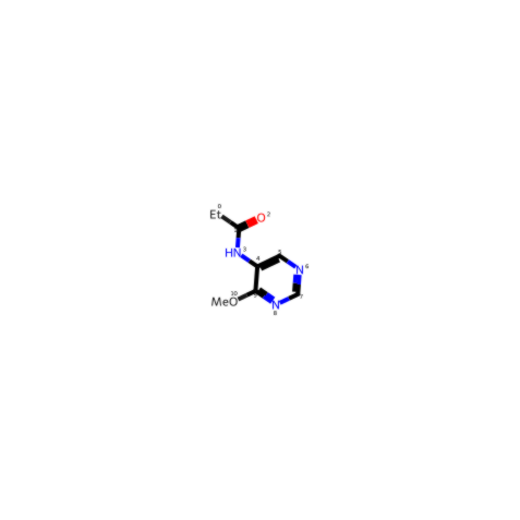 CCC(=O)Nc1cncnc1OC